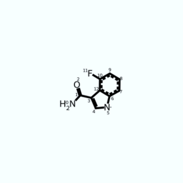 NC(=O)C1=C[N]c2cccc(F)c21